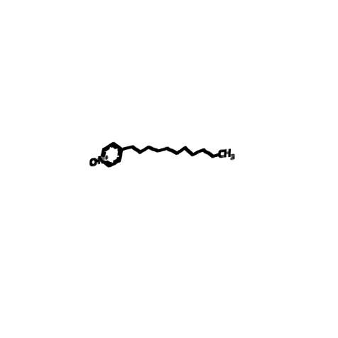 CCCCCCCCCCCc1cc[n+]([O-])cc1